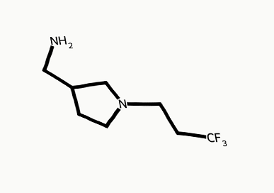 NCC1CCN(CCC(F)(F)F)C1